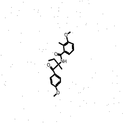 CCC(C)(NC(=O)c1cccc(OC)c1C)C(=O)c1ccc(OC)cc1